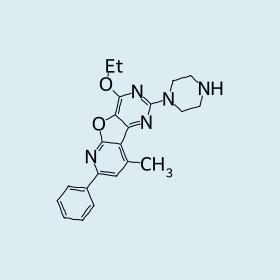 CCOc1nc(N2CCNCC2)nc2c1oc1nc(-c3ccccc3)cc(C)c12